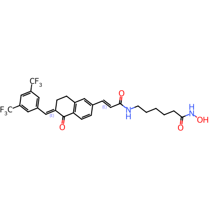 O=C(/C=C/c1ccc2c(c1)CC/C(=C\c1cc(C(F)(F)F)cc(C(F)(F)F)c1)C2=O)NCCCCCC(=O)NO